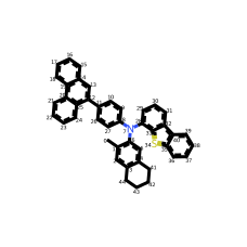 Cc1cc2c(cc1N(c1ccc(-c3cc4ccccc4c4ccccc34)cc1)c1cccc3c1sc1ccccc13)CCCC2